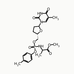 COC(=O)C(C)NP(=O)(OC[C@@H]1CCC(n2cc(C)c(=O)[nH]c2=O)O1)Oc1ccc(C)cc1